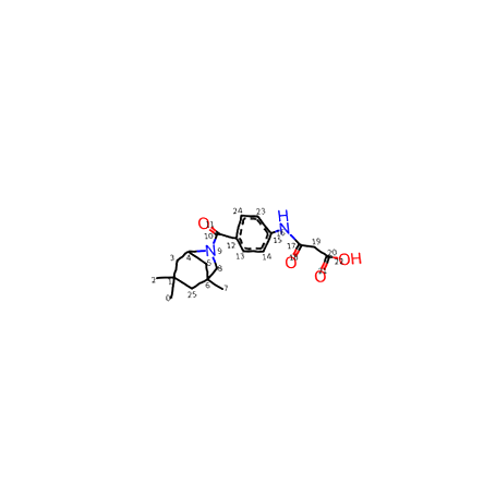 CC1(C)CC2CC(C)(CN2C(=O)c2ccc(NC(=O)CC(=O)O)cc2)C1